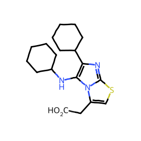 O=C(O)Cc1csc2nc(C3CCCCC3)c(NC3CCCCC3)n12